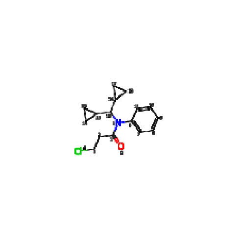 O=C(CCCl)N(c1ccccc1)C(C1CC1)C1CC1